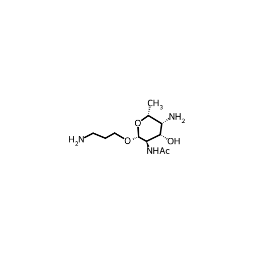 CC(=O)N[C@H]1[C@H](OCCCN)O[C@H](C)[C@H](N)[C@@H]1O